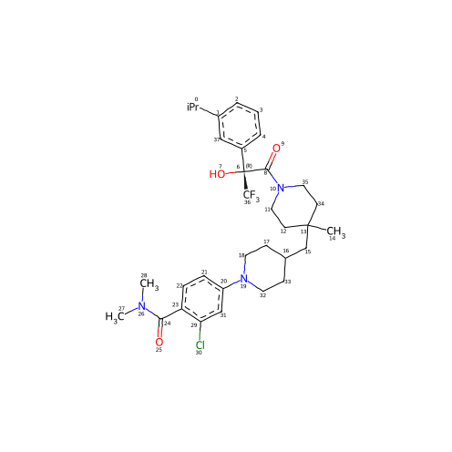 CC(C)c1cccc([C@@](O)(C(=O)N2CCC(C)(CC3CCN(c4ccc(C(=O)N(C)C)c(Cl)c4)CC3)CC2)C(F)(F)F)c1